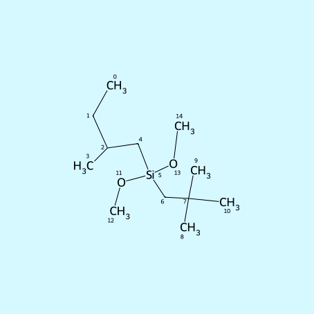 CCC(C)C[Si](CC(C)(C)C)(OC)OC